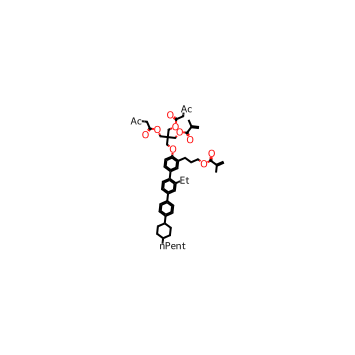 C=C(C)C(=O)OCCCc1cc(-c2ccc(-c3ccc(C4CCC(CCCCC)CC4)cc3)cc2CC)ccc1OCC(COC(=O)CC(C)=O)(COC(=O)CC(C)=O)COC(=O)C(=C)C